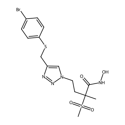 CC(CCn1cc(CSc2ccc(Br)cc2)nn1)(C(=O)NO)S(C)(=O)=O